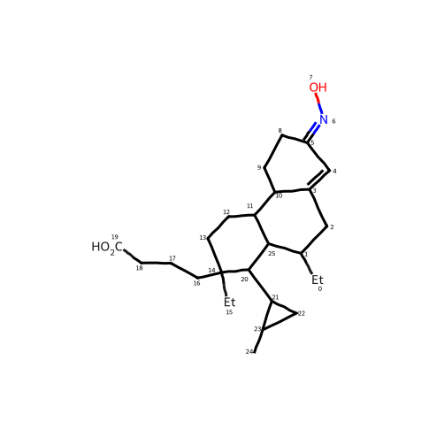 CCC1CC2=C/C(=N/O)CCC2C2CCC(CC)(CCCC(=O)O)C(C3CC3C)C12